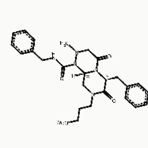 COCCCN1C[C@H]2N(C(=O)CN(C)N2C(=O)NCc2ccccc2)[C@@H](Cc2ccccc2)C1=O